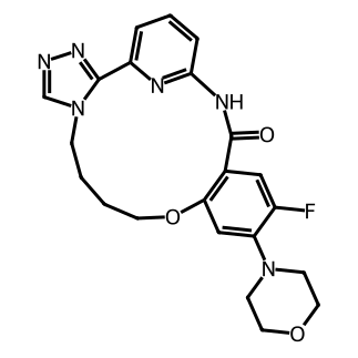 O=C1Nc2cccc(n2)-c2nncn2CCCCOc2cc(N3CCOCC3)c(F)cc21